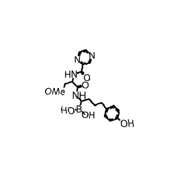 COCC(NC(=O)c1cnccn1)C(=O)NC(CCCc1ccc(O)cc1)B(O)O